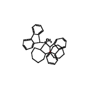 C[Si](C1c2ccccc2-c2ccccc21)(C1c2ccccc2-c2ccccc21)C1CCCCCC1C1CCCCCC1